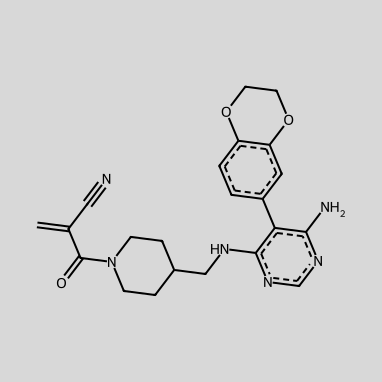 C=C(C#N)C(=O)N1CCC(CNc2ncnc(N)c2-c2ccc3c(c2)OCCO3)CC1